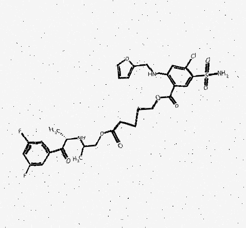 CC(COC(=O)CCCCOC(=O)c1cc(S(N)(=O)=O)c(Cl)cc1NCc1ccco1)N[C@@H](C)C(=O)c1cc(F)cc(F)c1